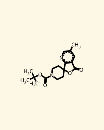 Cc1cnc2c(c1)C(=O)OC21CCN(C(=O)OC(C)(C)C)CC1